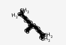 C=CC(=O)OCC(COc1ccc(OC(=O)C2CCC(C(=O)Oc3ccc(OC(=O)C4CCC(C(=O)Oc5ccc(OCC(COC(=O)C=C)OC(=O)C=C)cc5)CC4)c4sc(-c5ccc([N+](=O)[O-])cc5)nc34)CC2)cc1)OC(=O)C=C